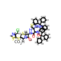 O=C(O)C1=C(Sc2scnc2CCl)CS[C@H]2[C@H](NC(=O)/C(=N\OC(c3ccccc3)(c3ccccc3)c3ccccc3)C3=CSCN3NC(c3ccccc3)(c3ccccc3)c3ccccc3)C(=O)N12